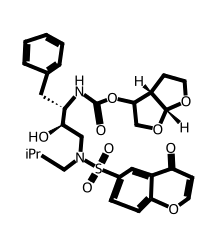 CC(C)CN(C[C@@H](O)[C@H](Cc1ccccc1)NC(=O)OC1CO[C@H]2OCC[C@@H]12)S(=O)(=O)c1ccc2occc(=O)c2c1